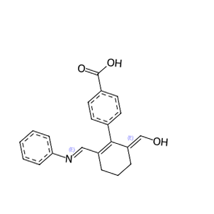 O=C(O)c1ccc(C2=C(/C=N/c3ccccc3)CCC/C2=C\O)cc1